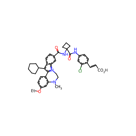 CCOc1ccc2c(c1)N(C)CCn1c-2c(C2CCCCC2)c2ccc(C(=O)NC3(C(=O)Nc4ccc(/C=C/C(=O)O)c(Cl)c4)CCC3)cc21